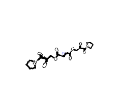 O=C(/C=C/C(=O)OCC(=O)C(=O)N1CCCC1)OCC(=O)C(=O)N1CCCC1